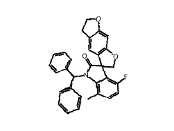 Cc1ccc(F)c2c1N(C(c1ccccc1)c1ccccc1)C(=O)C21COc2cc3c(cc21)CCO3